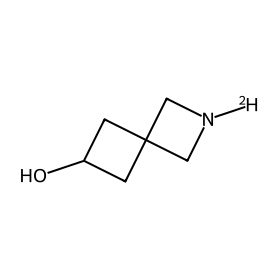 [2H]N1CC2(CC(O)C2)C1